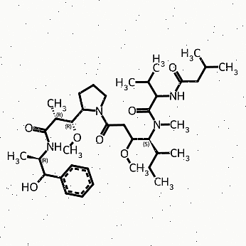 CCC(C)[C@@H](C(CC(=O)N1CCCC1[C@H](OC)[C@@H](C)C(=O)N[C@H](C)C(O)c1ccccc1)OC)N(C)C(=O)C(NC(=O)CC(C)C)C(C)C